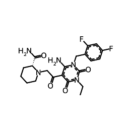 CCn1c(=O)c(C(=O)CN2CCCC[C@@H]2C(N)=O)c(N)n(Cc2ccc(F)cc2F)c1=O